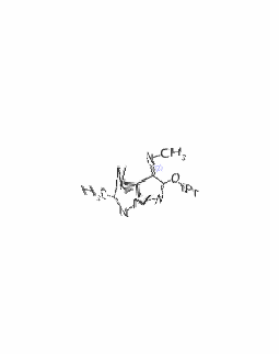 C/N=C1\C(OC(C)C)=Nn2nc(C)nc21